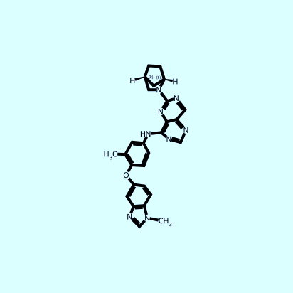 Cc1cc(Nc2ncnc3cnc(N4C[C@@H]5CC[C@H]4C5)nc23)ccc1Oc1ccc2c(c1)ncn2C